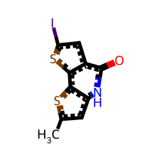 Cc1cc2[nH]c(=O)c3cc(I)sc3c2s1